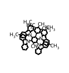 Cc1ccc2c(c1)c1cc(C)ccc1n2-c1c(-c2cc(C)c(C)c(C)c2)c(-n2c3ccc(C)cc3c3cc(C)ccc32)c(-n2c3ccccc3c3ccccc32)c(C#N)c1-n1c2ccccc2c2ccccc21